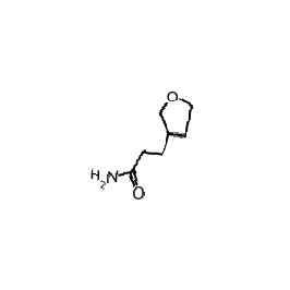 NC(=O)CCC1CCOC1